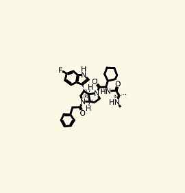 CN[C@@H](C)C(=O)N[C@H](C(=O)N1CC[C@@H]2[C@H]1[C@@H](c1c[nH]c3cc(F)ccc13)CN2C(=O)Cc1ccccc1)C1CCCCC1